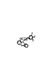 O=C(O)OC1=C(SCCCc2cc(F)c(F)c(F)c2)N(CC2CC3CCC2C3)CC=C1